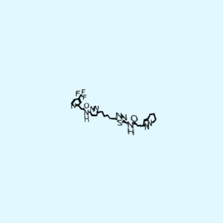 O=C(Cc1cc(C(F)(F)F)ccn1)Nc1ccc(CCCCc2nnc(NC(=O)Cc3cc4n(n3)CCCC4)s2)nn1